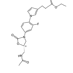 CCOC(=O)CCc1ccn(-c2ccc(N3C[C@H](CNC(C)=O)OC3=O)cc2F)c1